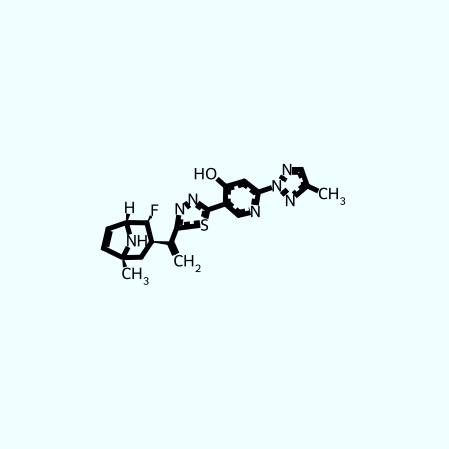 C=C(c1nnc(-c2cnc(-n3ncc(C)n3)cc2O)s1)[C@H]1C[C@]2(C)C=C[C@@H](N2)[C@@H]1F